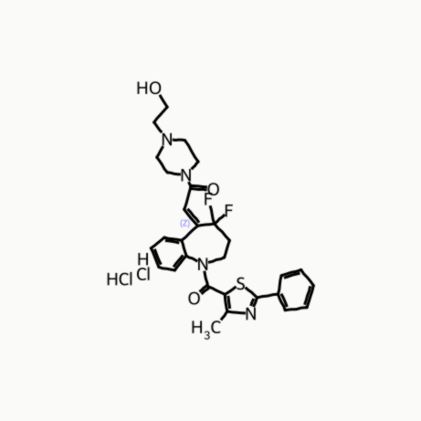 Cc1nc(-c2ccccc2)sc1C(=O)N1CCC(F)(F)/C(=C\C(=O)N2CCN(CCO)CC2)c2ccccc21.Cl.Cl